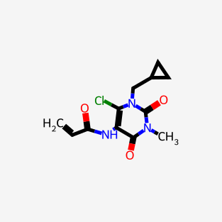 C=CC(=O)Nc1c(Cl)n(CC2CC2)c(=O)n(C)c1=O